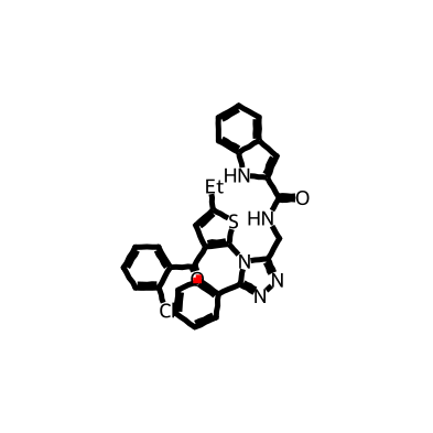 CCc1cc(C(=O)c2ccccc2Cl)c(-n2c(CNC(=O)c3cc4ccccc4[nH]3)nnc2-c2ccccc2)s1